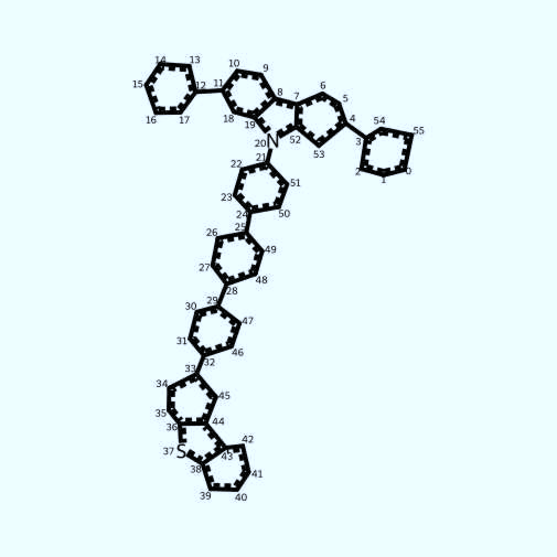 c1ccc(-c2ccc3c4ccc(-c5ccccc5)cc4n(-c4ccc(-c5ccc(-c6ccc(-c7ccc8sc9ccccc9c8c7)cc6)cc5)cc4)c3c2)cc1